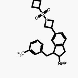 CNC1Cc2ccc(C3CN(S(=O)(=O)C4CCC4)C3)cc2C1Cc1cccc(C(F)(F)F)c1